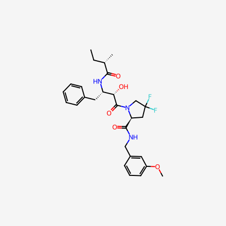 CC[C@H](C)C(=O)N[C@@H](Cc1ccccc1)[C@H](O)C(=O)N1CC(F)(F)C[C@H]1C(=O)NCc1cccc(OC)c1